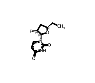 CC[C@@H]1C[C@H](F)[C@H](n2ccc(=O)[nH]c2=O)O1